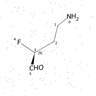 NCC[C@H](F)C=O